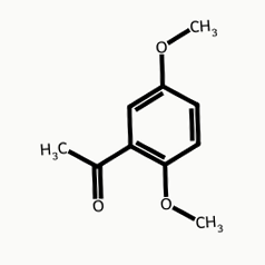 COc1ccc(OC)c(C(C)=O)c1